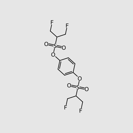 O=S(=O)(Oc1ccc(OS(=O)(=O)C(CF)CF)cc1)C(CF)CF